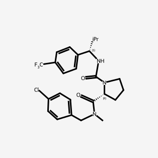 CC(C)[C@H](NC(=O)N1CCC[C@@H]1C(=O)N(C)Cc1ccc(Cl)cc1)c1ccc(C(F)(F)F)cc1